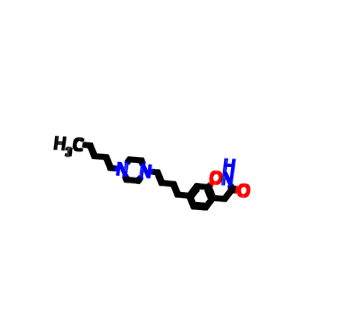 CCCCCN1CCN(CCCCc2ccc3c(c2)ONC(=O)C3)CC1